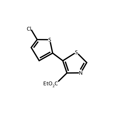 CCOC(=O)c1ncsc1-c1ccc(Cl)s1